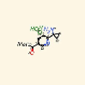 COC(=O)c1ccc(C2(N)CC2)nc1.Cl.Cl